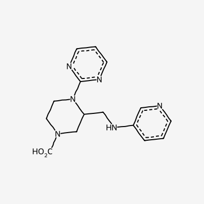 O=C(O)N1CCN(c2ncccn2)C(CNc2cccnc2)C1